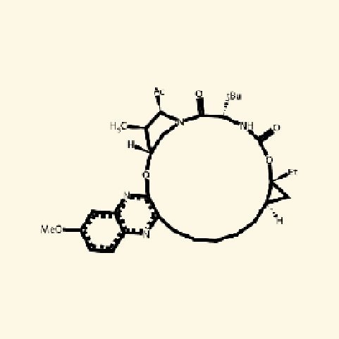 CC[C@@]12C[C@H]1CCCCCc1nc3ccc(OC)cc3nc1O[C@H]1CN(C(=O)[C@H](C(C)(C)C)NC(=O)O2)[C@H](C(C)=O)[C@@H]1C